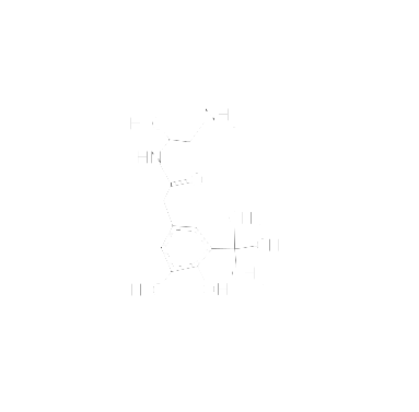 Cc1cc(CC(=O)NC(C)CN)cc(C(C)(C)C)c1O